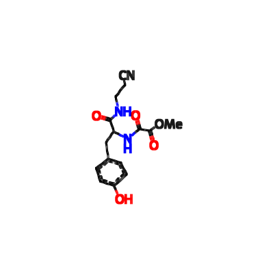 COC(=O)C(=O)NC(Cc1ccc(O)cc1)C(=O)NCCC#N